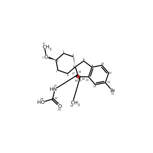 CO[C@H]1CC[C@]2(CC1)Cc1ccc(Br)cc1C21N=C(C)C(NC(=O)O)=N1